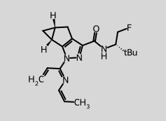 C=C/C(=N\C=C/C)n1nc(C(=O)N[C@H](CF)C(C)(C)C)c2c1[C@@H]1C[C@@H]1C2